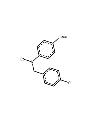 CCN(Cc1ccc(Cl)cc1)c1ccc(OC)cc1